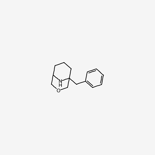 c1ccc(CC23CCCC(COC2)N3)cc1